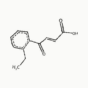 CCc1ccccc1C(=O)C=CC(=O)O